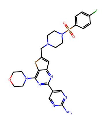 Nc1ncc(-c2nc(N3CCOCC3)c3sc(CN4CCN(S(=O)(=O)c5ccc(F)cc5)CC4)cc3n2)cn1